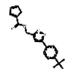 CC(C)(C)c1ccc(-c2cc(CNC(=O)C3=CC=CC3)on2)cc1